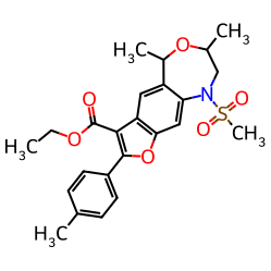 CCOC(=O)c1c(-c2ccc(C)cc2)oc2cc3c(cc12)C(C)OC(C)CN3S(C)(=O)=O